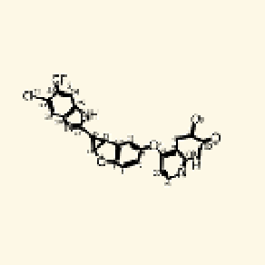 O=C1Cc2c(Oc3ccc4c(c3)C3C(O4)C3c3nc4cc(Cl)c(C(F)(F)F)cc4[nH]3)ccnc2NC1=O